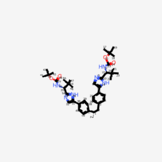 C[C@@H](Cc1ccc(-c2cnc([C@@H](NC(=O)OC(C)(C)C)C(C)(C)C)[nH]2)cc1)c1ccc(-c2cnc([C@@H](NC(=O)OC(C)(C)C)C(C)(C)C)[nH]2)cc1